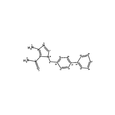 NC(=O)c1c(N)ncn1Cc1ccc(-c2ccccc2)cc1